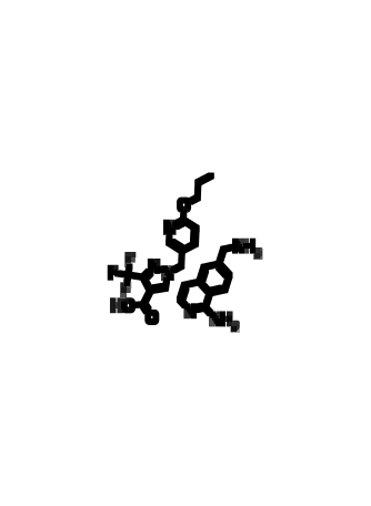 CCCOc1ccc(Cn2cc(C(=O)O)c(C(F)(F)F)n2)cn1.NCc1ccc2c(N)nccc2c1